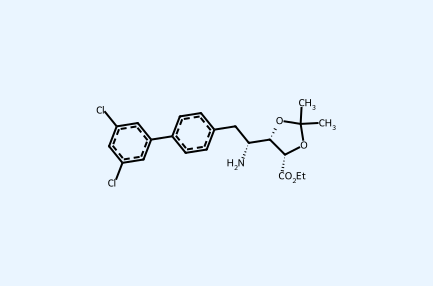 CCOC(=O)[C@H]1OC(C)(C)O[C@H]1[C@H](N)Cc1ccc(-c2cc(Cl)cc(Cl)c2)cc1